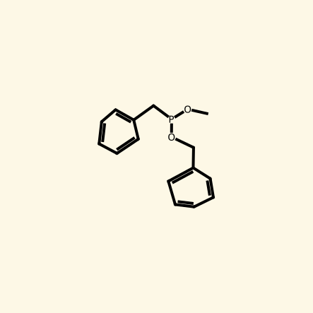 COP(Cc1ccccc1)OCc1ccccc1